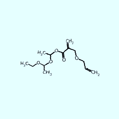 C=CCOCC(=C)C(=O)OC(C)OC(C)OCC